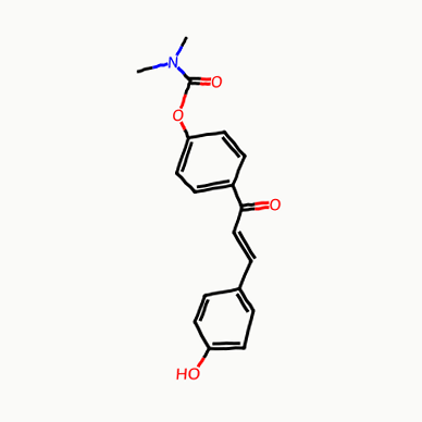 CN(C)C(=O)Oc1ccc(C(=O)/C=C/c2ccc(O)cc2)cc1